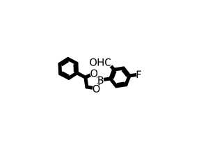 O=Cc1cc(F)ccc1B1OCC(c2ccccc2)O1